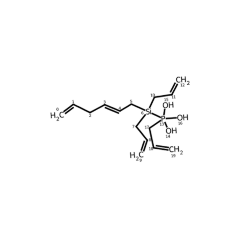 C=CCC=CC[Si](CC=C)(CC=C)P(O)(O)(O)CC=C